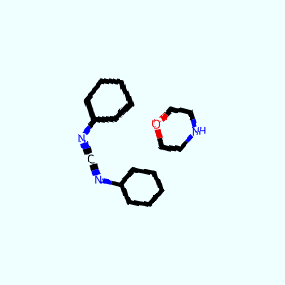 C(=NC1CCCCC1)=NC1CCCCC1.C1COCCN1